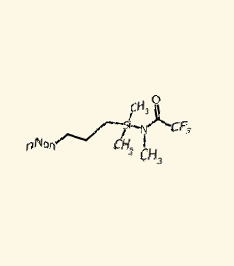 CCCCCCCCCCCC[Si](C)(C)N(C)C(=O)C(F)(F)F